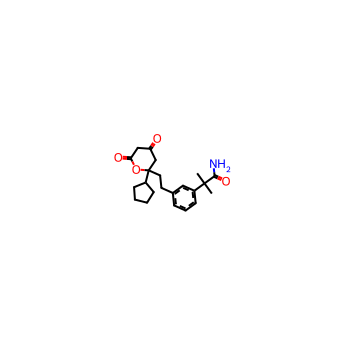 CC(C)(C(N)=O)c1cccc(CCC2(C3CCCC3)CC(=O)CC(=O)O2)c1